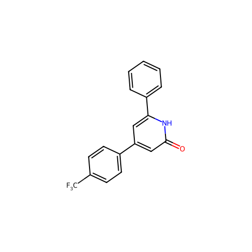 O=c1cc(-c2ccc(C(F)(F)F)cc2)cc(-c2ccccc2)[nH]1